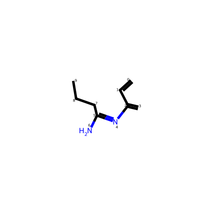 C=CC(=C)/N=C(/N)CCC